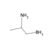 BCC(C)N